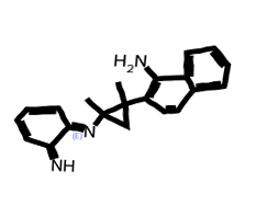 CC1(/N=C2\C=CC=CC2=N)CC1(C)c1ccc2ccccc2c1N